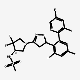 Cc1cc(F)c(C2CC(N3C[C@@H](NS(C)(=O)=O)C(F)(F)C3)=NO2)c(-c2ncc(F)cc2F)c1